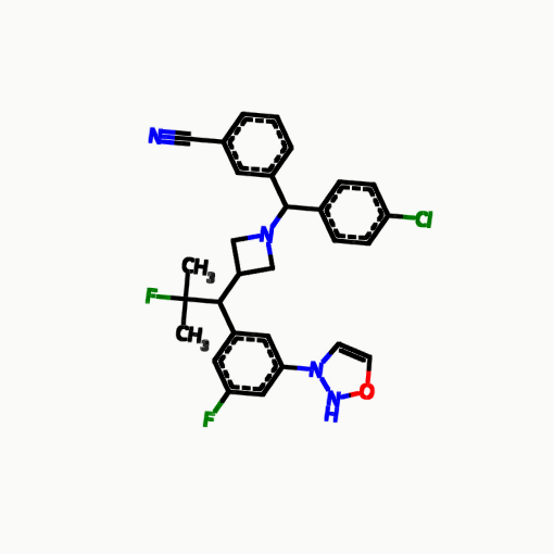 CC(C)(F)C(c1cc(F)cc(N2C=CON2)c1)C1CN(C(c2ccc(Cl)cc2)c2cccc(C#N)c2)C1